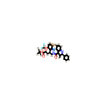 Cc1c(-c2ccccc2)nc2ccc(Br)cc2c1C(=O)NCC(CCC(=O)OC(C)(C)C)c1c(F)cccc1OC(F)F